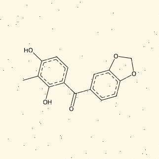 Cc1c(O)ccc(C(=O)c2ccc3c(c2)OCO3)c1O